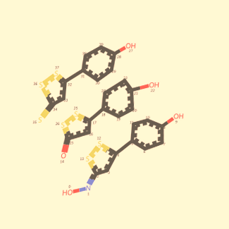 O/N=c1/cc(-c2ccc(O)cc2)ss1.O=c1cc(-c2ccc(O)cc2)ss1.Oc1ccc(-c2cc(=S)ss2)cc1